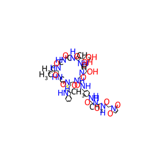 CC[C@H](C)[C@@H]1NC(=O)CNC(=O)CNC(=O)[C@H]([C@@H](C)[C@@H](O)CO)NC(=O)[C@@H]2C[C@@H](O)CN2C(=O)[C@H](CC(=O)NCc2ccc(NC(=O)[C@H](C)NC(=O)CNC(=O)CCN3C(=O)C=CC3=O)cc2)NC(=O)C(CSc2[nH]c3ccccc3c2C)NC(=O)CNC1=O